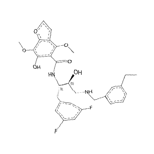 CCc1cccc(CNC[C@H](O)[C@H](Cc2cc(F)cc(F)c2)NC(=O)c2c(O)c(OC)c3occc3c2OC)c1